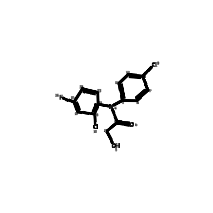 O=C(CO)N(c1ccc(Cl)cc1)c1ccc(F)cc1Cl